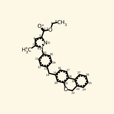 CCOC(=O)c1cc(C)n(-c2ccc(Cc3ccc4c(c3)OCc3ccccc3-4)cc2)n1